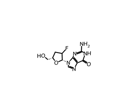 Nc1nc2c(ncn2[C@@H]2O[C@H](CO)CC2F)c(=O)[nH]1